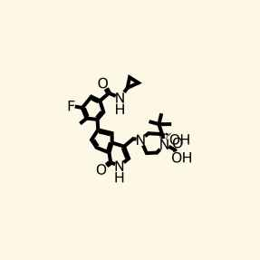 Cc1c(F)cc(C(=O)NC2CC2)cc1-c1ccc2c(=O)[nH]cc(CN3CCN(C(=O)O)[C@](CO)(C(C)(C)C)C3)c2c1